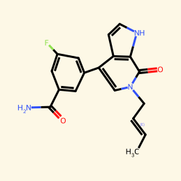 C/C=C/Cn1cc(-c2cc(F)cc(C(N)=O)c2)c2cc[nH]c2c1=O